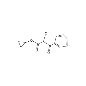 O=C(OC1CC1)C(Cl)C(=O)c1ccccc1